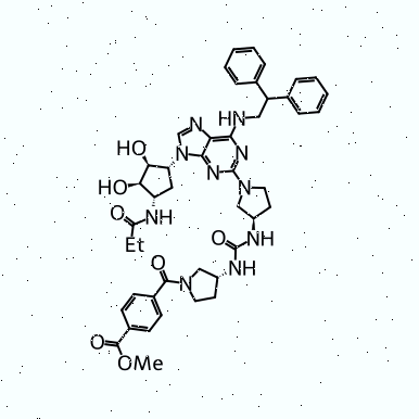 CCC(=O)N[C@H]1C[C@@H](n2cnc3c(NCC(c4ccccc4)c4ccccc4)nc(N4CC[C@@H](NC(=O)N[C@@H]5CCN(C(=O)c6ccc(C(=O)OC)cc6)C5)C4)nc32)[C@H](O)[C@@H]1O